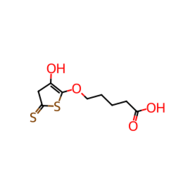 O=C(O)CCCCOC1=C(O)CC(=S)S1